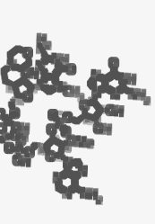 CO[C@@H]1[C@H](OP(=O)([O-])OC[C@H]2O[C@@H](n3cnc4c(=O)[nH]c(N)nc43)[C@H](O)[C@@H]2O)[C@@H](COP(=O)(O)OP(=O)(O)OP(=O)(O)OC[C@H]2O[C@@H](n3c[n+](C)c4c(=O)[nH]c(N)nc43)[C@H](O)[C@@H]2CCN2CCOCC2)O[C@H]1n1cnc2c(N)ncnc21